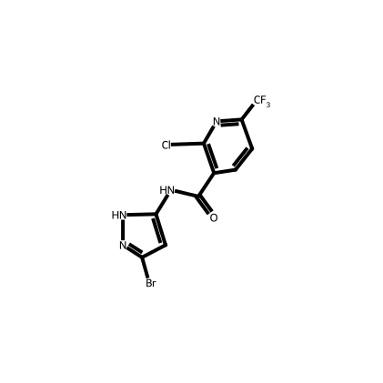 O=C(Nc1cc(Br)n[nH]1)c1ccc(C(F)(F)F)nc1Cl